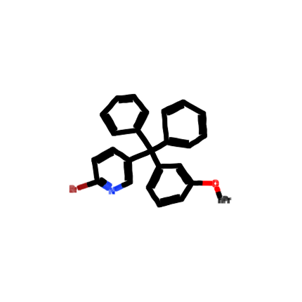 CCCOc1cccc(C(c2ccccc2)(c2ccccc2)c2ccc(Br)nc2)c1